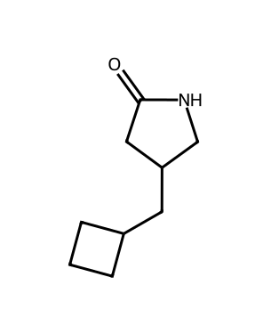 O=C1CC(CC2CCC2)CN1